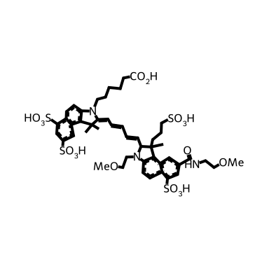 COCCNC(=O)c1cc(S(=O)(=O)O)c2ccc3c(c2c1)C(C)(CCCS(=O)(=O)O)C(/C=C/C=C/C=C1/N(CCCCCC(=O)O)c2ccc4c(S(=O)(=O)O)cc(S(=O)(=O)O)cc4c2C1(C)C)N3CCOC